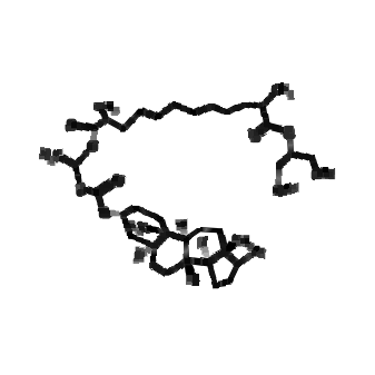 CC(=O)OCC(COC(C)=O)OC(=O)C(C)CCCCCCCCC(C)C(=O)OC(C)OC(=O)O[C@@H]1CC[C@@]2(C)[C@@H](CC[C@@H]3[C@@H]2CC[C@]2(C)C(C(C)=O)CC[C@@H]32)C1